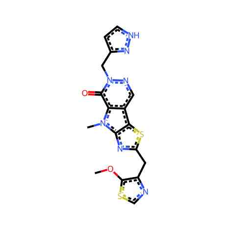 COc1scnc1Cc1nc2c(s1)c1cnn(Cc3cc[nH]n3)c(=O)c1n2C